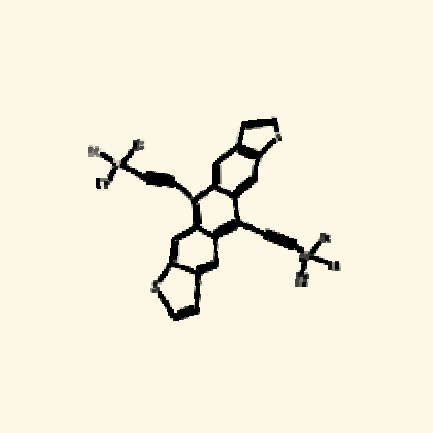 CC[Si](C#Cc1c2cc3ccsc3cc2c(C#C[Si](CC)(CC)CC)c2cc3ccsc3cc12)(CC)CC